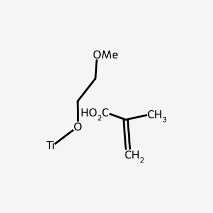 C=C(C)C(=O)O.COCC[O][Ti]